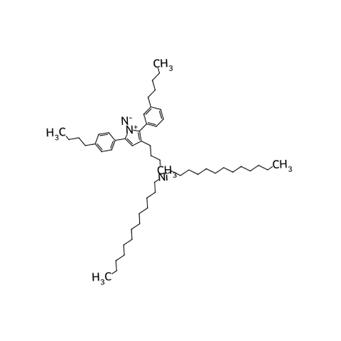 CCCCCCCCCCCC[CH2][Ni][CH2]CCCCCCCCCCCC.CCCCCc1cccc(C2=C(CCCC)C=C(c3ccc(CCCC)cc3)[N+]2=[N-])c1